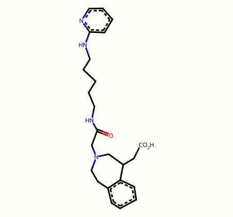 O=C(O)CC1CN(CC(=O)NCCCCCNc2ccccn2)CCc2ccccc21